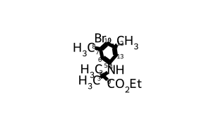 CCOC(=O)C(C)(C)Nc1cc(C)c(Br)c(C)c1